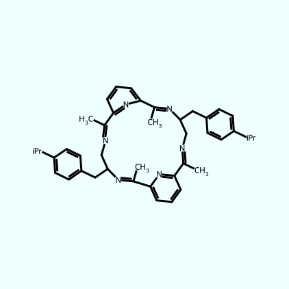 C/C1=N\CC(Cc2ccc(C(C)C)cc2)/N=C(\C)c2cccc(n2)/C(C)=N/CC(Cc2ccc(C(C)C)cc2)/N=C(\C)c2cccc1n2